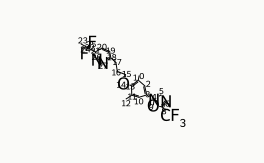 Cc1cc(N2CN=C(C(F)(F)F)O2)cc(C)c1OCCCc1ccc(C(C)(F)F)nn1